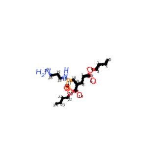 CCCCOC(=O)CCC(C[PH](=O)NCCCN)C(=O)OCCCC